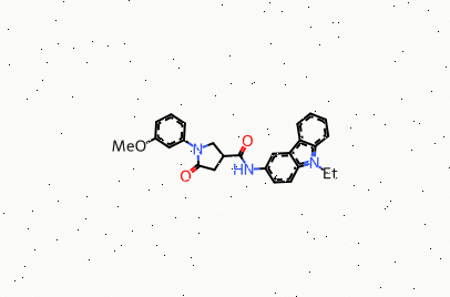 CCn1c2ccccc2c2cc(NC(=O)C3CC(=O)N(c4cccc(OC)c4)C3)ccc21